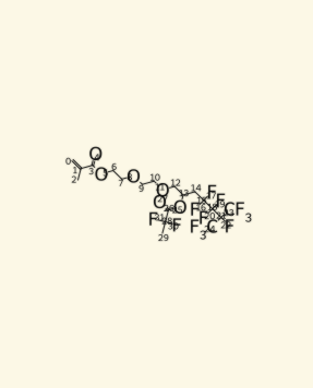 C=C(C)C(=O)OCCOCCOCC(CC(F)(F)C(F)(F)C(F)(C(F)(F)F)C(F)(F)F)OC(=O)C(C)(F)F